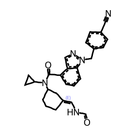 N#Cc1ccc(Cn2ncc3c(C(=O)N(C4CC4)C4CCC/C(=C\NC=O)C4)cccc32)cc1